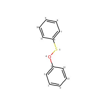 c1ccc(OSc2ccccc2)cc1